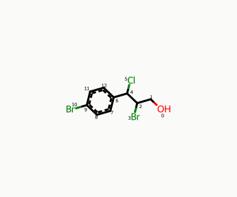 OCC(Br)C(Cl)c1ccc(Br)cc1